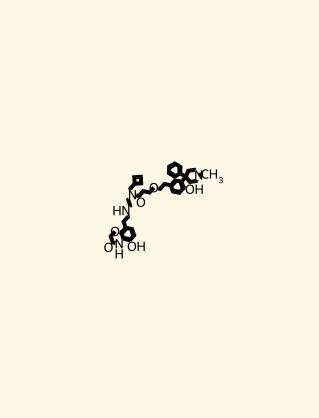 CN1CCC(c2ccccc2)(c2cc(CCOCCC(=O)N(CCNCCc3ccc(O)c4c3OCC(=O)N4)CC3CCC3)ccc2O)CC1